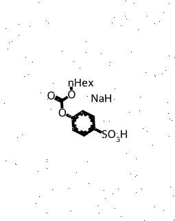 CCCCCCOC(=O)Oc1ccc(S(=O)(=O)O)cc1.[NaH]